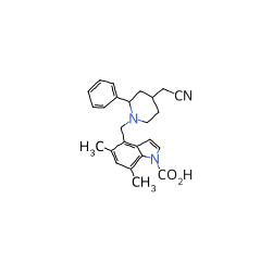 Cc1cc(C)c2c(ccn2C(=O)O)c1CN1CCC(CC#N)CC1c1ccccc1